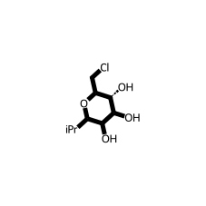 CC(C)C1OC(CCl)[C@H](O)C(O)C1O